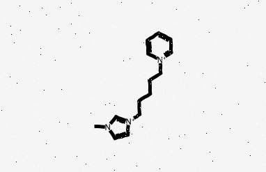 Cn1cc[n+](CCCCC[n+]2ccccc2)c1